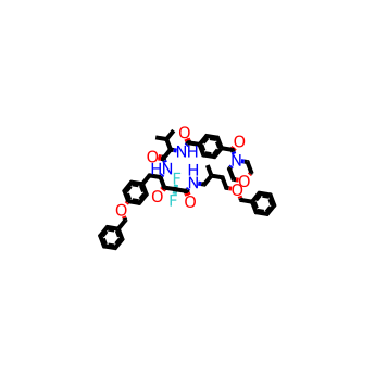 CC(CCOCc1ccccc1)CNC(=O)C(F)(F)C(=O)C(Cc1ccc(OCc2ccccc2)cc1)NC(=O)C(NC(=O)c1ccc(C(=O)N2CCOCC2)cc1)C(C)C